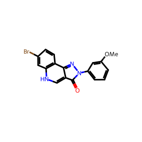 COc1cccc(-n2nc3c4ccc(Br)cc4[nH]cc-3c2=O)c1